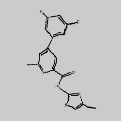 Cc1cc(-c2cc(F)cc(F)c2)cc(C(=O)Nc2nc(C)cs2)n1